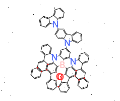 c1ccc(-c2ccccc2N2c3cc(-n4c5ccccc5c5cc(-n6c7ccccc7c7ccccc76)ccc54)cc4c3B(c3c2cc(-c2ccccc2)c2c3oc3ccccc32)c2c(cc(-c3ccccc3)c3c2oc2ccccc23)N4c2ccccc2-c2ccccc2)cc1